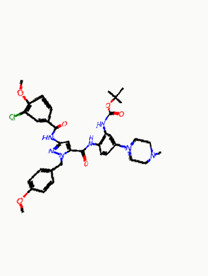 COc1ccc(Cn2nc(NC(=O)c3ccc(OC)c(Cl)c3)cc2C(=O)Nc2ccc(N3CCN(C)CC3)cc2NC(=O)OC(C)(C)C)cc1